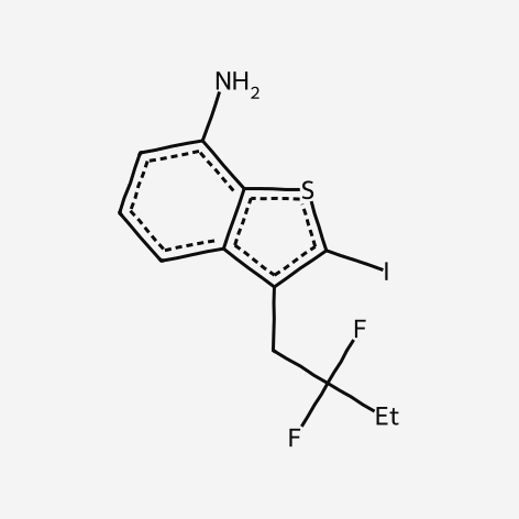 CCC(F)(F)Cc1c(I)sc2c(N)cccc12